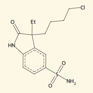 CCC1(CCCCCl)C(=O)Nc2ccc(S(N)(=O)=O)cc21